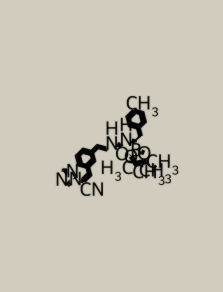 Cc1ccc(C[C@H](NC(=O)NCCc2cccc(C=C(C#N)n3cncn3)c2)B2OC(C)(C)C(C)(C)O2)cc1